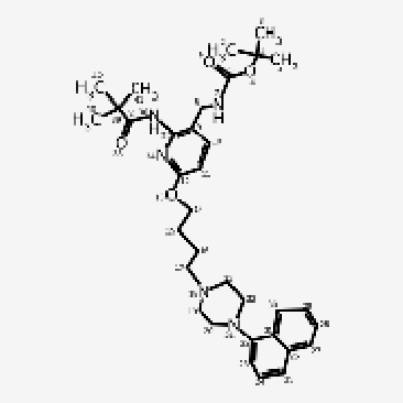 CC(C)(C)OC(=O)NCc1ccc(OCCCCN2CCN(c3cccc4ccccc34)CC2)nc1NC(=O)C(C)(C)C